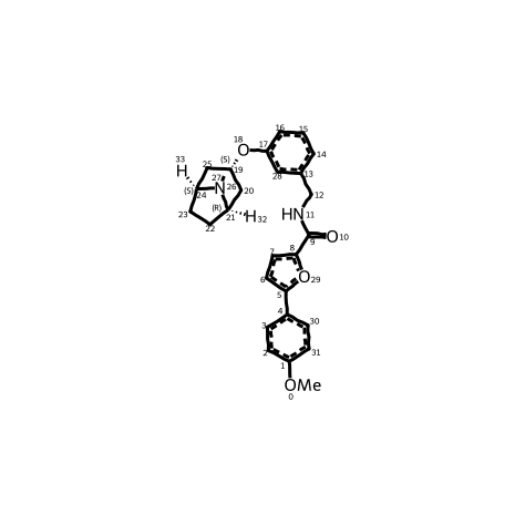 COc1ccc(-c2ccc(C(=O)NCc3cccc(O[C@@H]4C[C@H]5CC[C@@H](C4)N5C)c3)o2)cc1